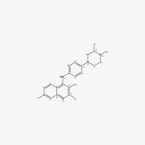 Cc1ccc2c(Nc3ccc(N4CCN(C)C(C)C4)cc3)c(C)c(C)nc2c1